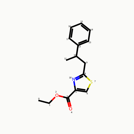 CCOC(=O)c1csc(CC(C)c2ccccc2)n1